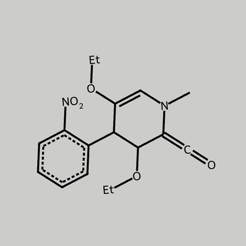 CCOC1=CN(C)C(=C=O)C(OCC)C1c1ccccc1[N+](=O)[O-]